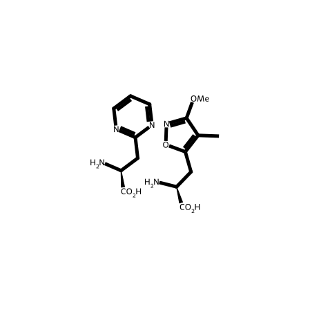 COc1noc(C[C@H](N)C(=O)O)c1C.N[C@@H](Cc1ncccn1)C(=O)O